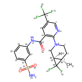 C[C@@]12CCN(c3ncc(C(F)(F)F)cc3C(=O)Nc3cccc(S(N)(=O)=O)c3)C[C@@H]1C2(F)F